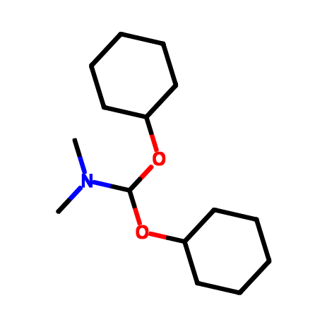 CN(C)C(OC1CCCCC1)OC1CCCCC1